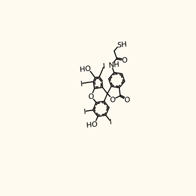 O=C(CS)Nc1ccc2c(c1)C1(OC2=O)c2cc(I)c(O)c(I)c2Oc2c1cc(I)c(O)c2I